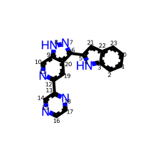 c1ccc2[nH]c(-c3n[nH]c4cnc(-c5cnccn5)cc34)cc2c1